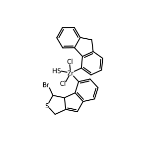 [SH][Zr]([Cl])([Cl])([c]1cccc2c1-c1ccccc1C2)[c]1cccc2c1C1C(=C2)CSC1Br